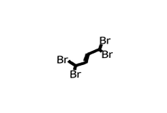 BrC(Br)C=CC(Br)Br